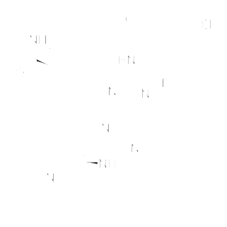 CC(C)N1CCC[C@@H](Nc2ncc3nc(Nc4c(F)cc(Cl)cc4Cl)n([C@H]4CC[C@H](C(N)=O)CC4)c3n2)C1